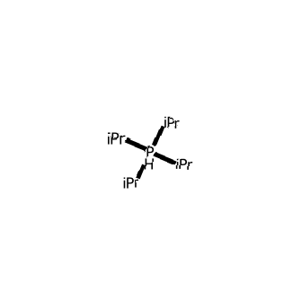 CC(C)[PH](C(C)C)(C(C)C)C(C)C